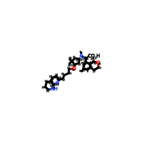 Cc1cc2c(c([C@H](C(=O)O)N(C)[C@H]3C[C@H](OCCCCc4ccc5c(n4)NCCC5)C(C)(C)C3)c1)[C@H](C)OCC2